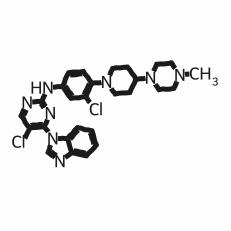 CN1CCN(C2CCN(c3ccc(Nc4ncc(Cl)c(-n5cnc6ccccc65)n4)cc3Cl)CC2)CC1